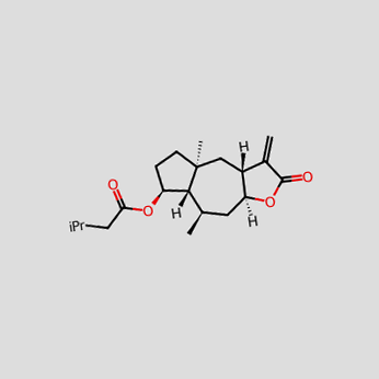 C=C1C(=O)O[C@H]2C[C@@H](C)[C@@H]3[C@@H](OC(=O)CC(C)C)CC[C@@]3(C)C[C@H]12